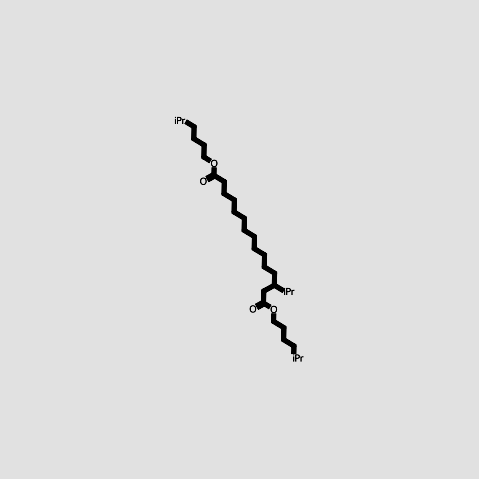 CC(C)CCCCOC(=O)CCCCCCCCCCCC(CC(=O)OCCCCC(C)C)C(C)C